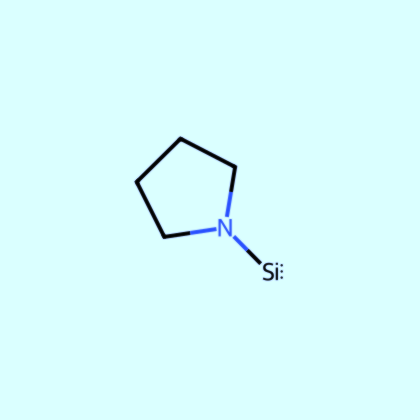 [Si]N1CCCC1